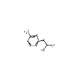 CCCC(O)Cc1cccc(N)c1